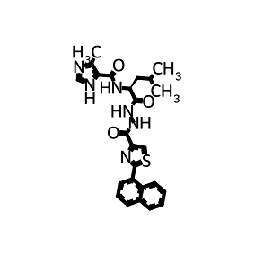 Cc1nc[nH]c1C(=O)N[C@@H](CC(C)C)C(=O)NNC(=O)c1csc(-c2cccc3ccccc23)n1